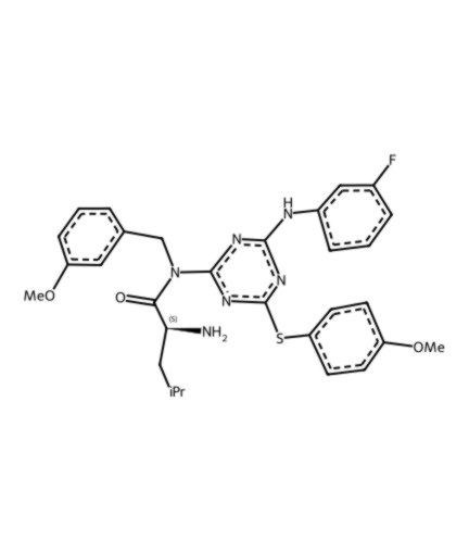 COc1ccc(Sc2nc(Nc3cccc(F)c3)nc(N(Cc3cccc(OC)c3)C(=O)[C@@H](N)CC(C)C)n2)cc1